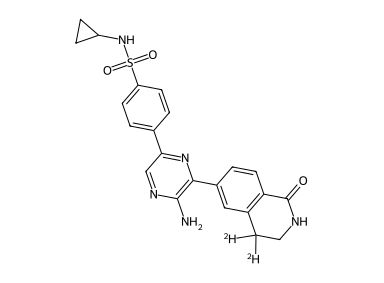 [2H]C1([2H])CNC(=O)c2ccc(-c3nc(-c4ccc(S(=O)(=O)NC5CC5)cc4)cnc3N)cc21